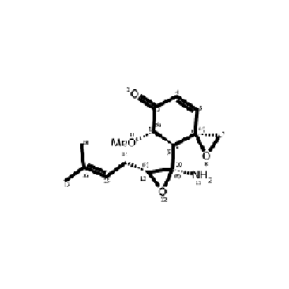 CO[C@@H]1C(=O)C=C[C@]2(CO2)[C@H]1[C@@]1(N)O[C@@H]1CC=C(C)C